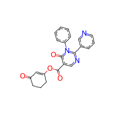 O=C1C=C(OC(=O)c2cnc(-c3cccnc3)n(-c3ccccc3)c2=O)CCC1